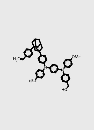 C=Cc1ccc(C23CC4CC(C2)CC(c2ccc(N(c5ccc(CCCC)cc5)c5ccc(N(c6ccc(CO)cc6)c6ccc(OC)cc6)cc5)cc2)(C4)C3)cc1